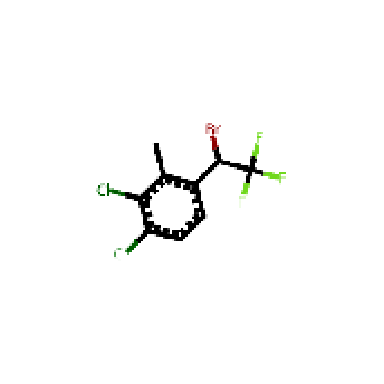 Cc1c(C(Br)C(F)(F)F)ccc(Cl)c1Cl